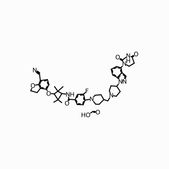 CC1(C)C(NC(=O)c2ccc(N3CCC(CN4CCC(n5ncc6c(N7CCC(=O)NC7=O)cccc65)CC4)CC3)c(F)c2)C(C)(C)C1Oc1ccc(C#N)c2c1CCO2.O=CO